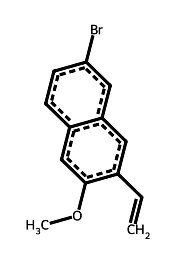 C=Cc1cc2cc(Br)ccc2cc1OC